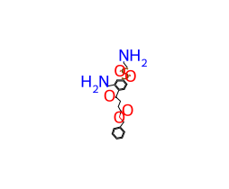 NCCS(=O)(=O)c1ccc(C(=O)CCC(=O)OCc2ccccc2)c(CN)c1